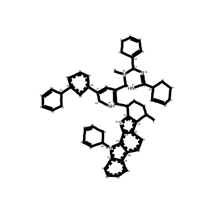 CC1CCC(C2=C(C3NC(C4C=CCCC4)=NC(C4=CC=CCC4)N3C)C=C(c3cccc(C4C=CC=CC4)c3)CN2)c2sc3c(ccc4c5ccccc5n(C5C=CC=CC5)c43)c21